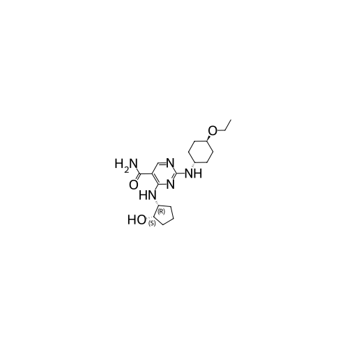 CCO[C@H]1CC[C@H](Nc2ncc(C(N)=O)c(N[C@@H]3CCC[C@@H]3O)n2)CC1